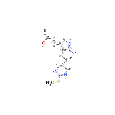 CSc1ncc(-c2cnc3[nH]cc(/C=C/C(C)=O)c3c2)cn1